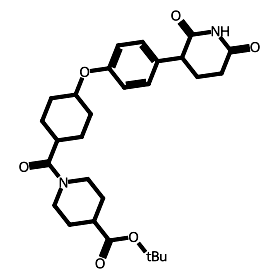 CC(C)(C)OC(=O)C1CCN(C(=O)C2CCC(Oc3ccc(C4CCC(=O)NC4=O)cc3)CC2)CC1